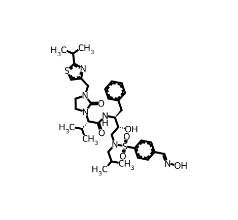 CC(C)CN(C[C@@H](O)[C@H](Cc1ccccc1)NC(=O)[C@H](C(C)C)N1CCN(Cc2csc(C(C)C)n2)C1=O)S(=O)(=O)c1ccc(C=NO)cc1